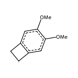 COc1cc2c(cc1OC)C[CH]2